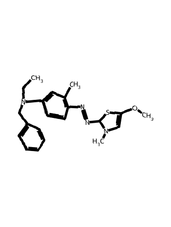 CCN(Cc1ccccc1)c1ccc(N=NC2SC(OC)=CN2C)c(C)c1